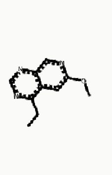 CCc1ncnc2cnc(OC)cc12